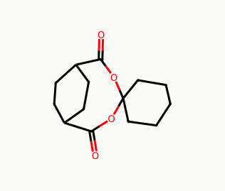 O=C1OC2(CCCCC2)OC(=O)C2CCC1CC2